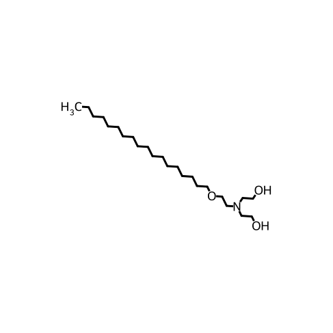 CCCCCCCCCCCCCCCCCCOCCN(CCO)CCO